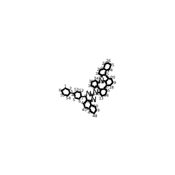 c1ccc(-c2ccc(-c3nc(-n4c5cccc6c7cccc8c9c%10ccccc%10ccc9n(c9cccc4c9c65)c78)nc4c3ccc3ccccc34)cc2)cc1